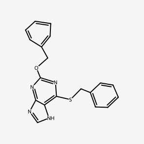 c1ccc(COc2nc(SCc3ccccc3)c3[nH]cnc3n2)cc1